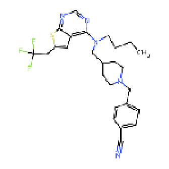 CCCCN(CC1CCN(Cc2ccc(C#N)cc2)CC1)c1ncnc2sc(CC(F)(F)F)cc12